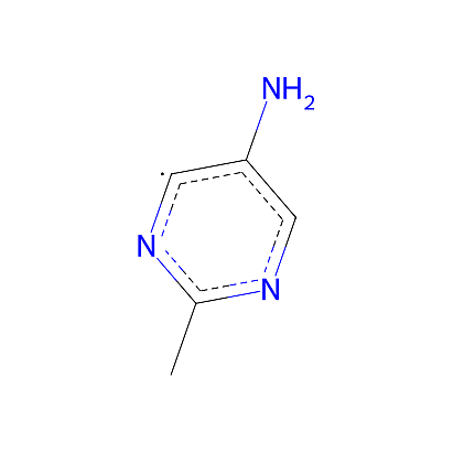 Cc1n[c]c(N)cn1